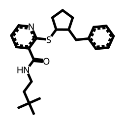 CC(C)(C)CCNC(=O)c1cccnc1SC1CCCC1Cc1ccccc1